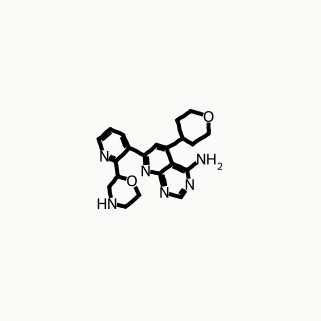 Nc1ncnc2nc(-c3cccnc3C3CNCCO3)cc(C3CCOCC3)c12